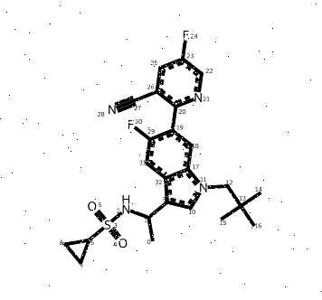 CC(NS(=O)(=O)C1CC1)c1cn(CC(C)(C)C)c2cc(-c3ncc(F)cc3C#N)c(F)cc12